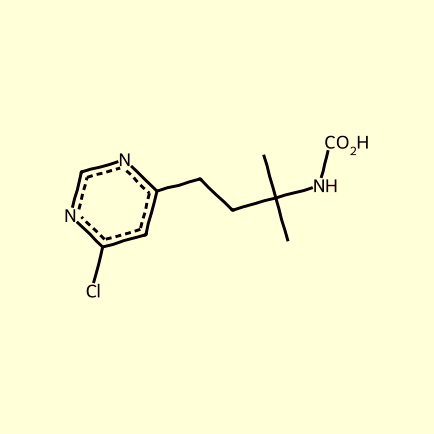 CC(C)(CCc1cc(Cl)ncn1)NC(=O)O